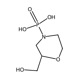 O=P(O)(O)N1CCOC(CO)C1